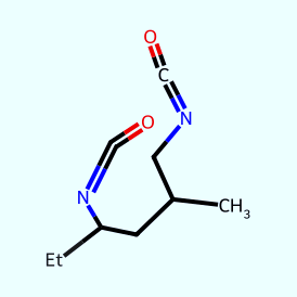 CCC(CC(C)CN=C=O)N=C=O